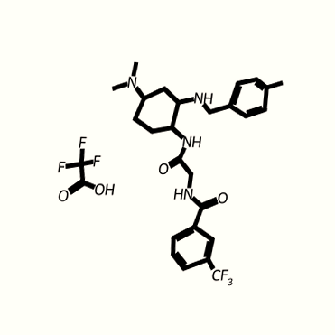 Cc1ccc(CNC2CC(N(C)C)CCC2NC(=O)CNC(=O)c2cccc(C(F)(F)F)c2)cc1.O=C(O)C(F)(F)F